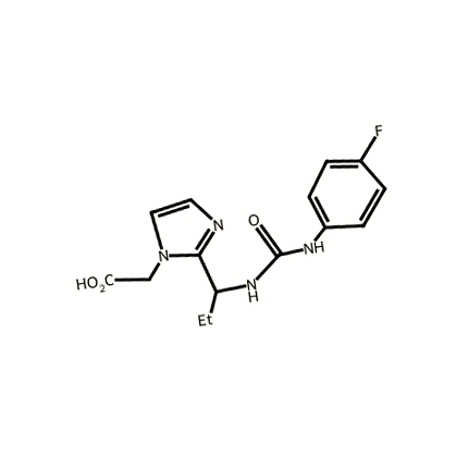 CCC(NC(=O)Nc1ccc(F)cc1)c1nccn1CC(=O)O